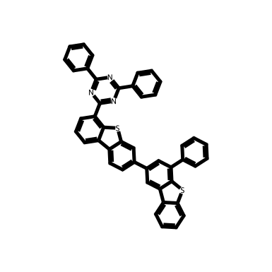 c1ccc(-c2nc(-c3ccccc3)nc(-c3cccc4c3sc3cc(-c5cc(-c6ccccc6)c6sc7ccccc7c6c5)ccc34)n2)cc1